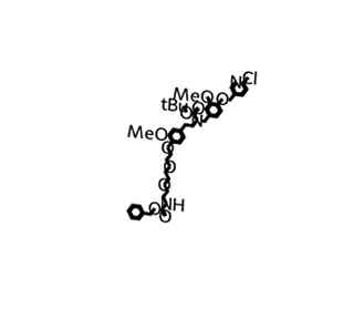 COc1cc(CCN(Cc2ccc(OCc3ccc(Cl)nc3)c(OC)c2)C(=O)OC(C)(C)C)ccc1OCCOCCOCCNC(=O)OCc1ccccc1